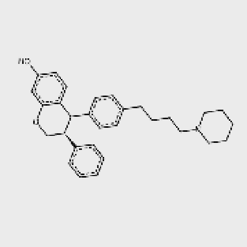 Oc1ccc2c(c1)OC[C@H](c1ccccc1)C2c1ccc(CCCCN2CCCCC2)cc1